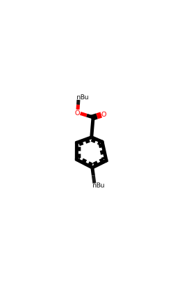 CCCCOC(=O)c1ccc(CCCC)cc1